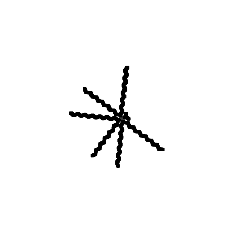 CCCCCCCCCCCCC[CH](CCCCCCCCCCCC)[Ti]([CH](C)C)([CH](CCCCCCCCCCCC)CCCCCCCCCCCCC)[CH](CCCCCCCCCCCC)CCCCCCCCCCCCC